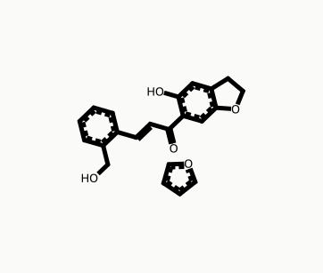 O=C(C=Cc1ccccc1CO)c1cc2c(cc1O)CCO2.c1ccoc1